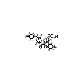 C[C@@H]1CN(Cc2ccc(F)cc2)[C@@H](C)CN1C(=O)COc1ccc(Cl)cc1C(O)=CCC(=O)O